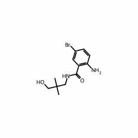 CC(C)(CO)CNC(=O)c1cc(Br)ccc1N